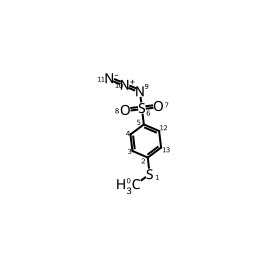 CSc1ccc(S(=O)(=O)N=[N+]=[N-])cc1